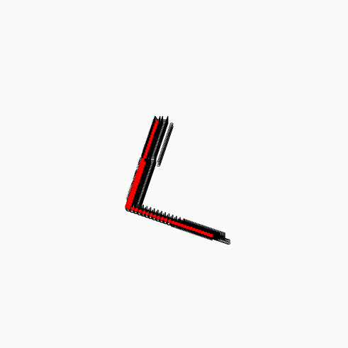 CO.CO.CO.CO.CO.CO.CO.CO.CO.CO.CO.CO.CO.CO.CO.CO.CO.CO.CO.CO.CO.CO.CO.CO.CO.CO.CO.CO.CO.CO.CO.CO.CO.CO.CO.CO.CO.CO.CO.CO.CO.CO.CO.CO.CO.N.N.N.N.N.N.N.N.N.N.N.N.N.N.N.N.N.N.N.N.N.N.N.N.N.N.N.N.N.N.N.N.N.N.N.N.N.N.N.N.N.N.N.N.N.N.N.N.N.N.N.N.N.N.N